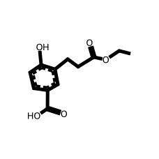 CCOC(=O)CCc1cc(C(=O)O)ccc1O